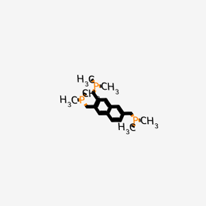 CP(C)Cc1ccc2cc(CP(C)C)c(CP(C)C)cc2c1